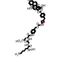 CC(=O)N[C@@H](CCCCN)C(=O)NCC(=O)N[C@@H](CCC(=O)O)C(=O)Nc1ccc(COC(=O)NC23CC(Cc4ccc([C@@H]5O[C@@H]6C[C@H]7[C@@H]8CCC9=CC(=O)C=C[C@]9(C)[C@H]8[C@@H](O)C[C@]7(C)[C@]6(C(=O)CO)O5)cc4)(C2)C3)cc1